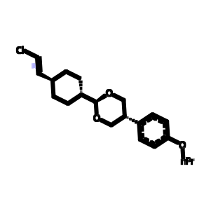 CCCOc1ccc([C@H]2CO[C@H]([C@H]3CC[C@H](/C=C/Cl)CC3)OC2)cc1